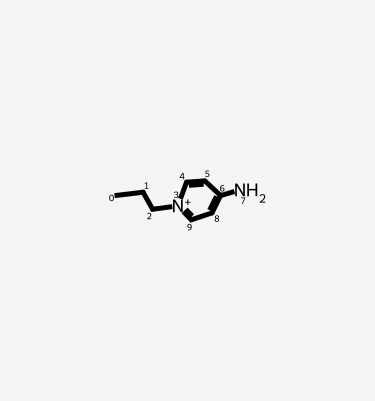 CCC[n+]1ccc(N)cc1